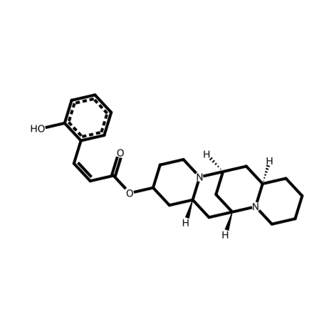 O=C(/C=C\c1ccccc1O)OC1CCN2[C@@H]3C[C@@H](C[C@@H]2C1)N1CCCC[C@@H]1C3